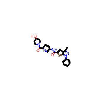 Cc1nn(-c2ccccc2)c2sc(C(=O)Nc3ccc(C(=O)N4CCC(O)CC4)nc3)cc12